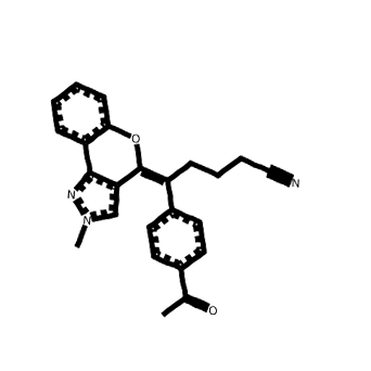 CC(=O)c1ccc(/C(CCCC#N)=C2/Oc3ccccc3-c3nn(C)cc32)cc1